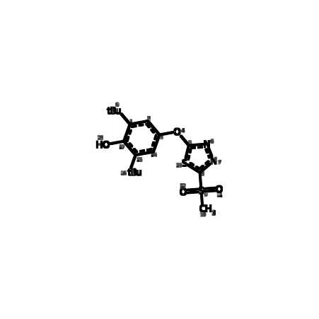 CC(C)(C)c1cc(Oc2nnc(S(C)(=O)=O)s2)cc(C(C)(C)C)c1O